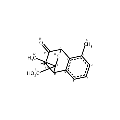 Cc1cccc2c1C1CC(C)(C(=O)O)C2NC1=O